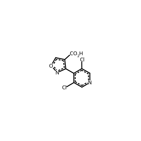 O=C(O)c1conc1-c1c(Cl)cncc1Cl